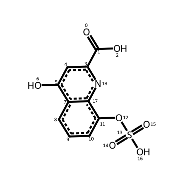 O=C(O)c1cc(O)c2cccc(OS(=O)(=O)O)c2n1